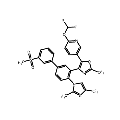 Cc1nc(-c2cc(-c3cccc(S(C)(=O)=O)c3)ccc2-n2cc(C(F)(F)F)nc2C)c(-c2ccc(OC(F)F)nc2)o1